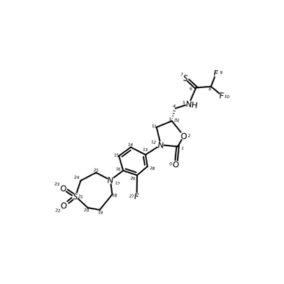 O=C1O[C@@H](CNC(=S)C(F)F)CN1c1ccc(N2CCCS(=O)(=O)CC2)c(F)c1